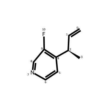 C=C[C@@H](C)c1ccncc1F